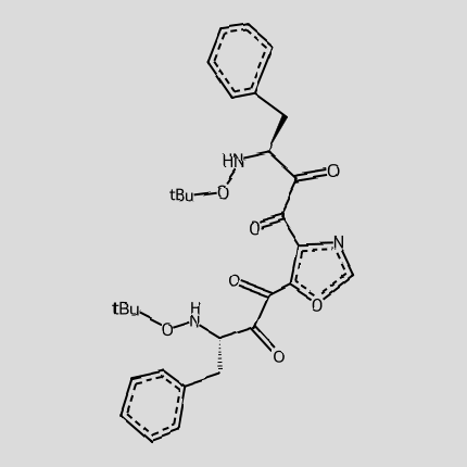 CC(C)(C)ON[C@@H](Cc1ccccc1)C(=O)C(=O)c1ncoc1C(=O)C(=O)[C@H](Cc1ccccc1)NOC(C)(C)C